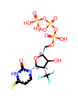 O=c1[nH]c(=S)ccn1[C@@H]1O[C@H](COP(=O)(O)OP(=O)(O)OP(=O)(O)O)C(O)[C@@H]1C(F)(F)F